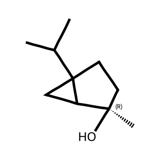 CC(C)C12CC[C@@](C)(O)C1C2